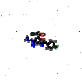 CN(C)CCNc1cc(C(=O)C=O)c2sc(-c3ccc(F)cc3)nc2c1